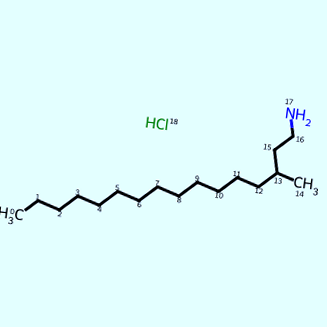 CCCCCCCCCCCCCC(C)CCN.Cl